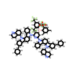 Cc1cc(C)c(B(c2cc(-n3c4ccccc4c4c3ccc3c5cc(-c6ccccc6)ccc5n(-c5cccc6ncccc56)c34)nc(-n3c4ccccc4c4c3ccc3c5cc(-c6ccccc6)ccc5n(-c5cccc6ncccc56)c34)c2)c2c(C(F)(F)F)cc(C(F)(F)F)cc2C(F)(F)F)c(C(F)(F)F)c1